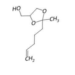 C=CCCCC1(C)OCC(CO)O1